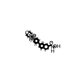 O=C(NO)C1CCc2ccc(-c3ccc(S(=O)(=O)N4CCOCC4)cc3)cc2C1